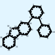 c1ccc(-c2ccccc2-c2ccc3c(c2)sc2ccccc23)cc1